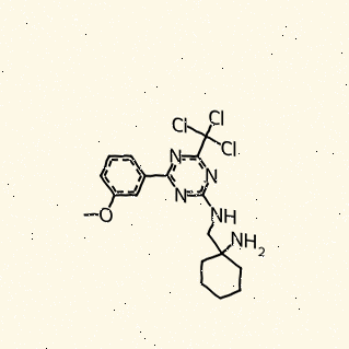 COc1cccc(-c2nc(NCC3(N)CCCCC3)nc(C(Cl)(Cl)Cl)n2)c1